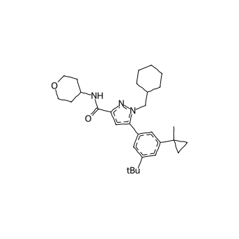 CC(C)(C)c1cc(-c2cc(C(=O)NC3CCOCC3)nn2CC2CCCCC2)cc(C2(C)CC2)c1